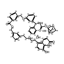 O=C(N[C@@H](c1ccccc1)c1cccc(OCc2cccc(C(=O)OCc3cccc(CCNC[C@H](O)c4ccc(O)c5[nH]c(=O)ccc45)c3)c2)c1)O[C@H]1CN2CCC1CC2